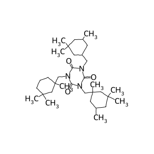 CC1CC(Cn2c(=O)n(CC3(C)CCCC(C)(C)C3)c(=O)n(CC3(C)CC(C)CC(C)(C)C3)c2=O)CC(C)(C)C1